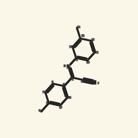 Cc1ccc(/C(C#N)=N/c2cccc(C)c2)cc1